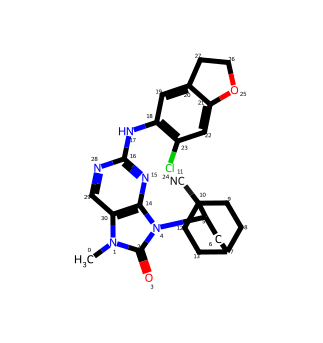 Cn1c(=O)n(C2CC3CCC2(C#N)CC3)c2nc(Nc3cc4c(cc3Cl)OCC4)ncc21